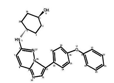 O[C@H]1CC[C@H](Nc2ccc3ncc(-c4ccc(Oc5ccccc5)cc4)n3n2)CC1